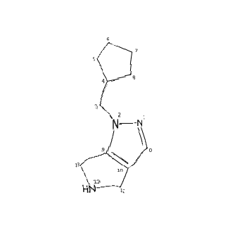 c1nn(CC2CCCC2)c2c1CNC2